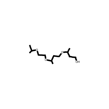 CC(C)OCCOC(C)CCOC(C)CCO